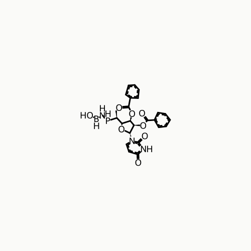 C[C@H](PNBO)[C@H]1O[C@@H](n2ccc(=O)[nH]c2=O)[C@H](OC(=O)c2ccccc2)[C@@H]1OC(=O)c1ccccc1